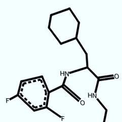 N#CCNC(=O)C(CC1CCCCC1)NC(=O)c1ccc(F)cc1F